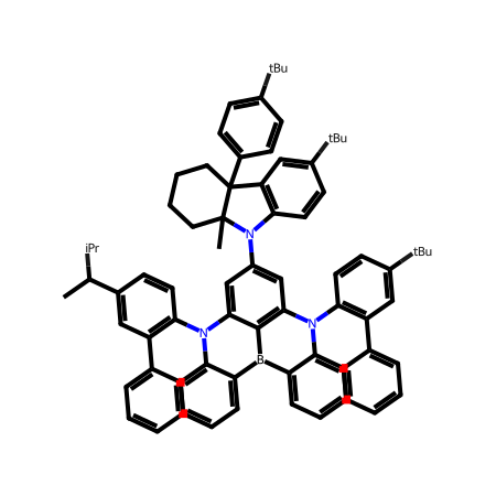 CC(C)C(C)c1ccc(N2c3ccccc3B3c4ccccc4N(c4ccc(C(C)(C)C)cc4-c4ccccc4)c4cc(N5c6ccc(C(C)(C)C)cc6C6(c7ccc(C(C)(C)C)cc7)CCCCC56C)cc2c43)c(-c2ccccc2)c1